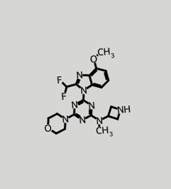 COc1cccc2c1nc(C(F)F)n2-c1nc(N2CCOCC2)nc(N(C)C2CNC2)n1